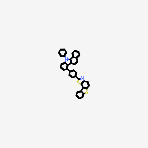 c1ccc(-n2c3cccc(-c4ccc(-c5nc6ccc7sc8ccccc8c7c6s5)cc4)c3c3ccc4ccccc4c32)cc1